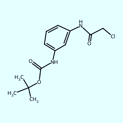 CC(C)(C)OC(=O)Nc1cccc(NC(=O)CCl)c1